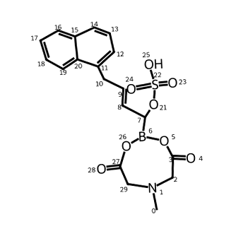 CN1CC(=O)OB(C(C=CCc2cccc3ccccc23)OS(=O)(=O)O)OC(=O)C1